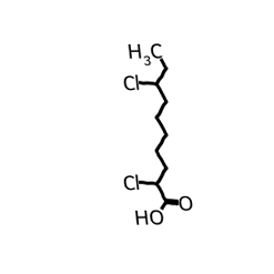 CCC(Cl)CCCCCC(Cl)C(=O)O